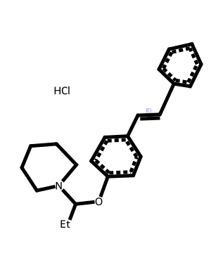 CCC(Oc1ccc(/C=C/c2ccccc2)cc1)N1CCCCC1.Cl